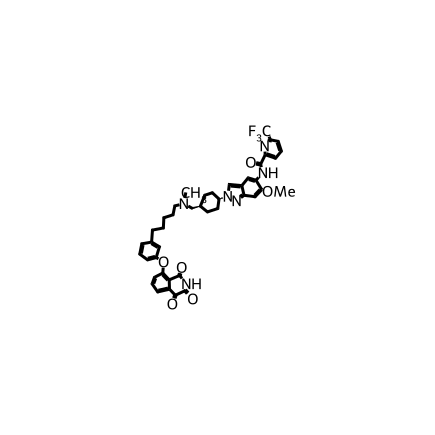 COc1cc2nn([C@H]3CC[C@H](CN(C)CCCCCc4cccc(Oc5cccc6c5C(=O)NC(=O)C6=O)c4)CC3)cc2cc1NC(=O)c1cccc(C(F)(F)F)n1